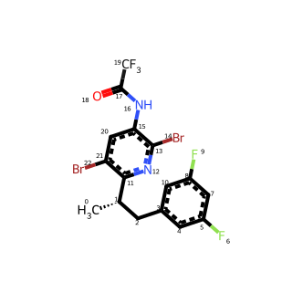 C[C@@H](Cc1cc(F)cc(F)c1)c1nc(Br)c(NC(=O)C(F)(F)F)cc1Br